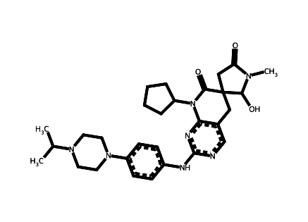 CC(C)N1CCN(c2ccc(Nc3ncc4c(n3)N(C3CCCC3)C(=O)C3(CC(=O)N(C)C3O)C4)cc2)CC1